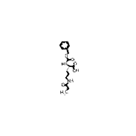 C=CC(=O)NCCC[C@H](NC(=O)OCc1ccccc1)C(=O)O